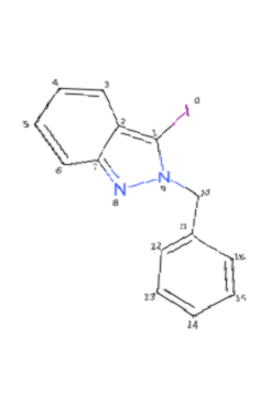 Ic1c2ccccc2nn1Cc1ccccc1